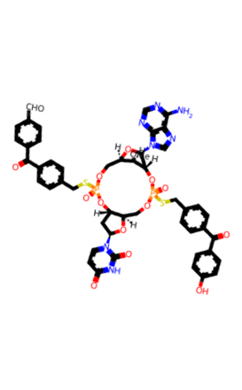 CO[C@H]1[C@H]2OP(=O)(SCc3ccc(C(=O)c4ccc(O)cc4)cc3)OC[C@H]3O[C@@H](n4ccc(=O)[nH]c4=O)C[C@@H]3OP(=O)(SCc3ccc(C(=O)c4ccc(C=O)cc4)cc3)OC[C@H]1O[C@H]2n1cnc2c(N)ncnc21